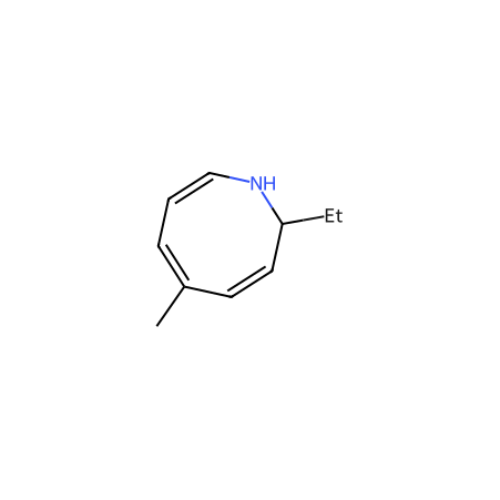 CCC1C=C/C(C)=C\C=C/N1